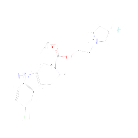 CC(C)C[C@H]1c2[nH]c3ccc(Cl)cc3c2CCN1C(=O)OCCN1CC[C@H](F)C1